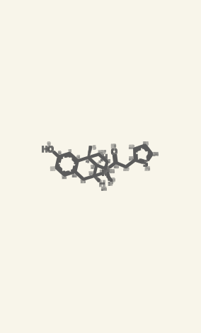 CN1CC[C@@]2(C)c3cc(O)ccc3C[C@@H]1[C@@H]2N(C)C(=O)Cc1cccs1